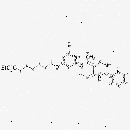 CCOC(=O)CCCCCCOc1cc(F)nc(N2CCC3NC(c4ccccn4)=NC=C3C2C)c1